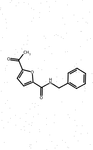 CC(=O)c1ccc(C(=O)NCc2ccccc2)o1